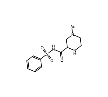 CC(=O)N1CCNC(C(=O)NS(=O)(=O)c2ccccc2)C1